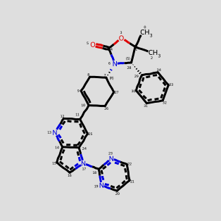 CC1(C)OC(=O)N([C@H]2CC=C(c3cnc4ccn(-c5ncccn5)c4c3)CC2)[C@H]1c1ccccc1